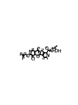 CC(O)CNC(=O)c1nccc2c1CN(C(C)c1cnc(OCC(F)F)c(Cl)c1)C2=O